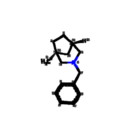 C[C@@]12CC[C@H](CN(Cc3ccccc3)C1)C2